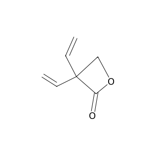 C=CC1(C=C)COC1=O